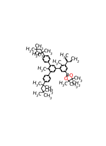 C=C/C(=C\C)c1cc(B2OC(C)(C)C(C)(C)O2)cc(-c2cc(-c3ccc(C(C)(C)CC(C)(C)C)cc3)c(C)c(-c3ccc(C(C)(C)CC(C)(C)C)cc3)c2)c1C